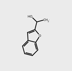 [CH2]C(O)c1cc2ccccc2o1